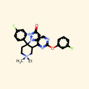 CC[N+]1(C)CCC(c2ccc(F)cc2)(n2ccc(=O)[nH]2)C(c2ccnc(Oc3cccc(F)c3)n2)C1